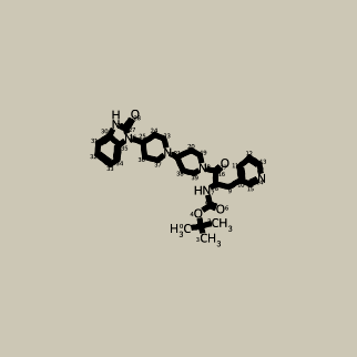 CC(C)(C)OC(=O)NC(Cc1cccnc1)C(=O)N1CCC(N2CCC(n3c(=O)[nH]c4ccccc43)CC2)CC1